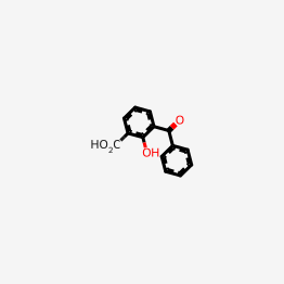 O=C(O)c1cccc(C(=O)c2ccccc2)c1O